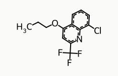 CCCOc1cc(C(F)(F)F)nc2c(Cl)cccc12